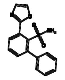 NS(=O)(=O)c1c(-c2ccccc2)cccc1-c1ncco1